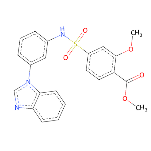 COC(=O)c1ccc(S(=O)(=O)Nc2cccc(-n3cnc4ccccc43)c2)cc1OC